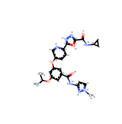 CC(C)Oc1cc(Oc2ccc(-c3nnc(C(=O)NC4CC4)o3)nc2)cc(C(=O)Nc2ccn(C)n2)c1